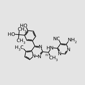 Cc1ccn2nc([C@H](C)Nc3ncnc(N)c3C#N)nc(-c3ccc(O)c(C(C)(C)O)c3)c12